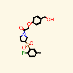 Cc1ccc(F)c(S(=O)(=O)C2CCN(C(=O)COc3ccc(CO)cc3)C2)c1